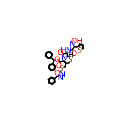 O=C(N[C@@H]1C(=O)N2C(C(=O)OC(c3ccccc3)c3ccccc3)=C(CSc3nnc(-c4ccccc4)o3)CS[C@@H]12)C(=NO)c1cccs1